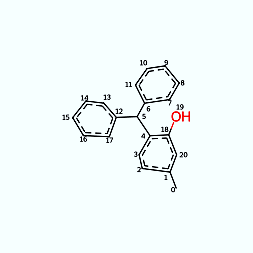 Cc1ccc(C(c2ccccc2)c2ccccc2)c(O)c1